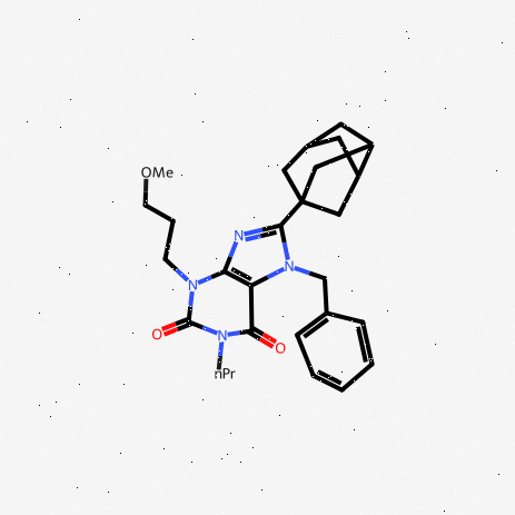 CCCn1c(=O)c2c(nc(C34CC5CC(C3)C(C5)C4)n2Cc2ccccc2)n(CCCOC)c1=O